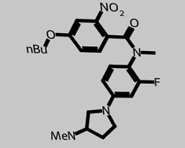 CCCCOc1ccc(C(=O)N(C)c2ccc(N3CCC(NC)C3)cc2F)c([N+](=O)[O-])c1